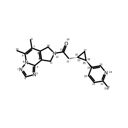 Cc1c2c(c3ncnn3c1C)CN(C(=O)C[C@@H]1C[C@H]1c1ccc(F)nc1)C2